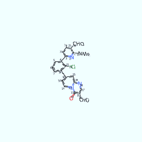 CNc1nc(-c2cccc(-c3ccn4c(=O)c(C=O)cnc4c3)c2Cl)ccc1C=O